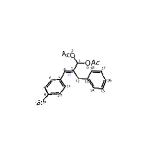 CC(=O)OC(OC(C)=O)/C(=C/c1ccc(C(C)(C)C)cc1)Cc1ccccc1